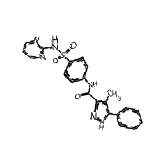 Cc1c(C(=O)Nc2ccc(S(=O)(=O)Nc3ncccn3)cc2)n[nH]c1-c1ccccc1